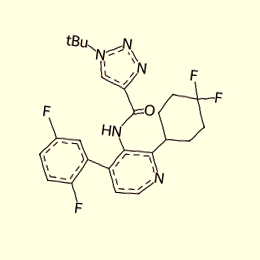 CC(C)(C)n1cc(C(=O)Nc2c(-c3cc(F)ccc3F)ccnc2C2CCC(F)(F)CC2)nn1